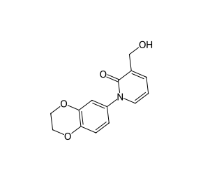 O=c1c(CO)cccn1-c1ccc2c(c1)OCCO2